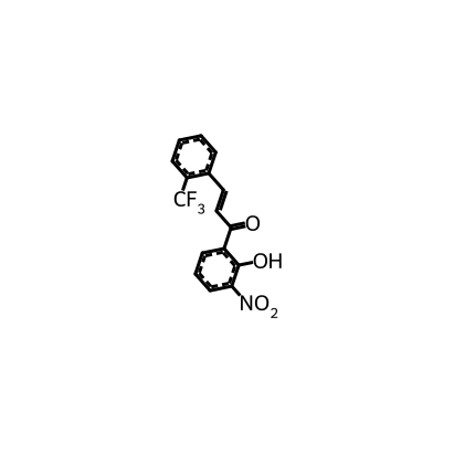 O=C(C=Cc1ccccc1C(F)(F)F)c1cccc([N+](=O)[O-])c1O